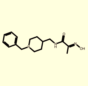 C/C(=N\O)C(=O)NCC1CCN(Cc2ccccc2)CC1